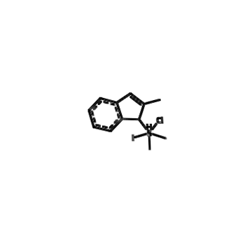 CC1=Cc2ccccc2C1[SH](C)(C)(Cl)I